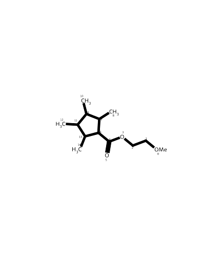 COCCOC(=O)C1C(C)C(C)C(C)C1C